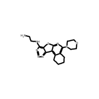 NCCNc1nnnc2c1sc1nc(N3CCOCC3)c3c(c12)CCCC3